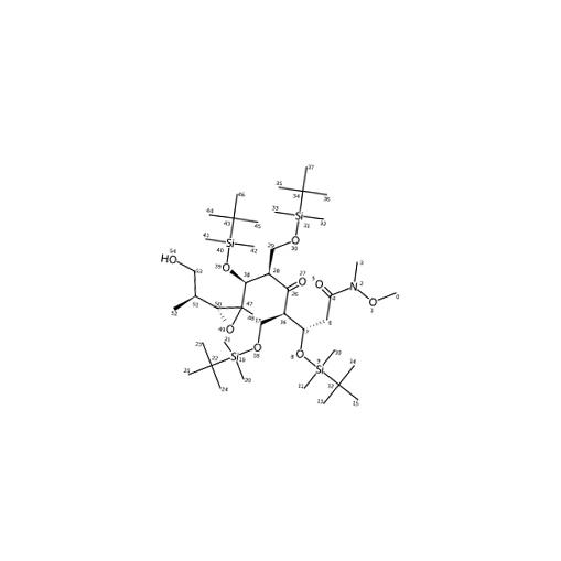 CON(C)C(=O)C[C@H](O[Si](C)(C)C(C)(C)C)[C@@H](CO[Si](C)(C)C(C)(C)C)C(=O)[C@H](CO[Si](C)(C)C(C)(C)C)[C@H](O[Si](C)(C)C(C)(C)C)C1(C)O[C@@H]1[C@@H](C)CO